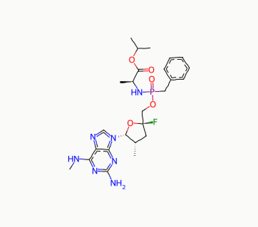 CNc1nc(N)nc2c1ncn2[C@@H]1O[C@](F)(COP(=O)(Cc2ccccc2)N[C@@H](C)C(=O)OC(C)C)C[C@@H]1C